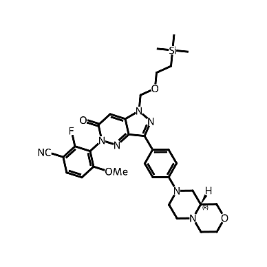 COc1ccc(C#N)c(F)c1-n1nc2c(-c3ccc(N4CCN5CCOC[C@H]5C4)cc3)nn(COCC[Si](C)(C)C)c2cc1=O